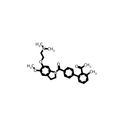 COc1cc2c(cc1OCCN(C)C)N(C(=O)c1ccc(-c3cccc(C)c3C(C)=O)cc1)CC2